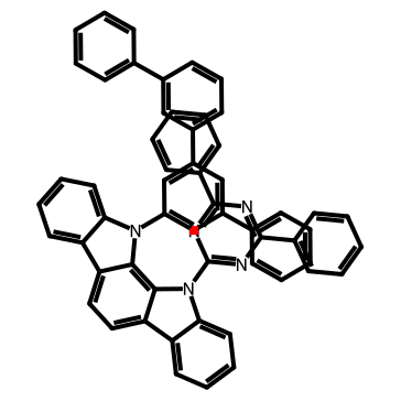 c1ccc(-c2cccc(-c3cc(-c4ccccc4)cc(-n4c5ccccc5c5ccc6c7ccccc7n(-c7nc(-c8ccccc8)nc(-c8ccccc8)n7)c6c54)c3)c2)cc1